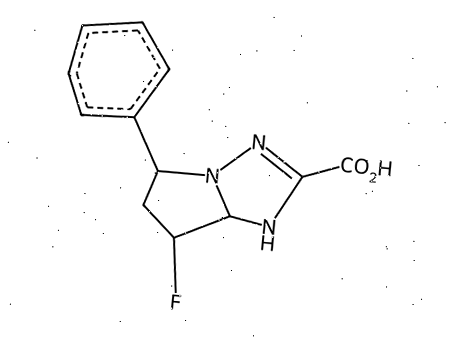 O=C(O)C1=NN2C(c3ccccc3)CC(F)C2N1